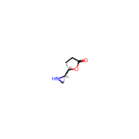 O=C1CC[C@@H]([C@@H]2CN2)O1